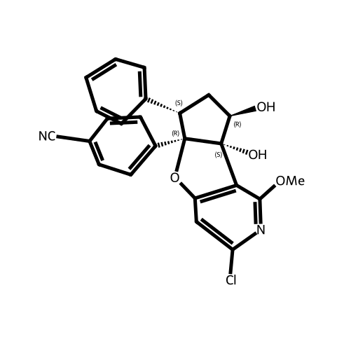 COc1nc(Cl)cc2c1[C@]1(O)[C@H](O)C[C@@H](c3ccccc3)[C@]1(c1ccc(C#N)cc1)O2